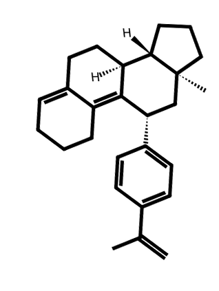 C=C(C)c1ccc([C@H]2C[C@]3(C)CCC[C@H]3[C@@H]3CCC4=CCCCC4=C32)cc1